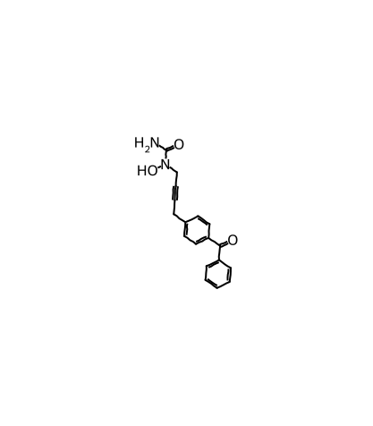 NC(=O)N(O)CC#CCc1ccc(C(=O)c2ccccc2)cc1